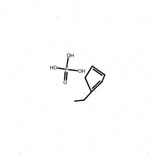 CCC1=CC=CC1.O=P(O)(O)O